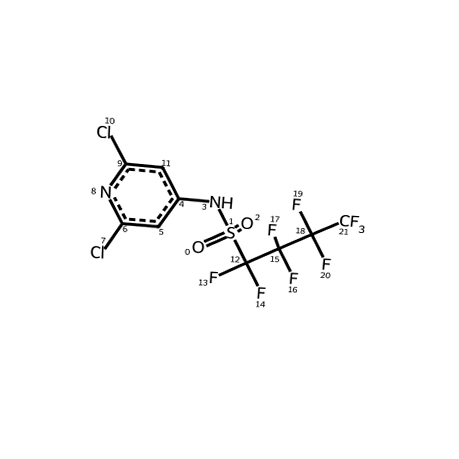 O=S(=O)(Nc1cc(Cl)nc(Cl)c1)C(F)(F)C(F)(F)C(F)(F)C(F)(F)F